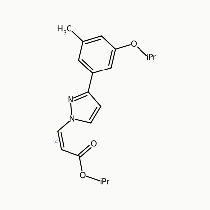 Cc1cc(OC(C)C)cc(-c2ccn(/C=C\C(=O)OC(C)C)n2)c1